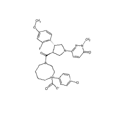 COc1ccc([C@@H]2CN(c3ccc(=O)n(C)n3)C[C@H]2C(=O)N2CCCC[N+](C(=O)[O-])(c3ccc(Cl)cc3)CC2)c(F)c1